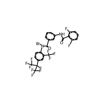 O=C(Nc1cccc(C(=O)N(Br)c2ccc(C(F)(C(F)(F)F)C(F)(F)F)cc2C(F)(F)F)c1)c1c(F)cccc1F